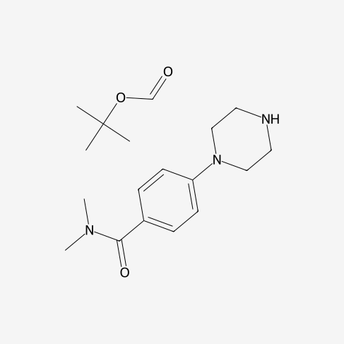 CC(C)(C)OC=O.CN(C)C(=O)c1ccc(N2CCNCC2)cc1